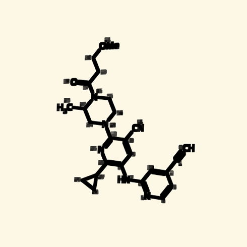 C#Cc1ccnc(Nc2cc(C#N)c(N3CCN(C(=O)CCOC)C(C)C3)nc2C2CC2)c1